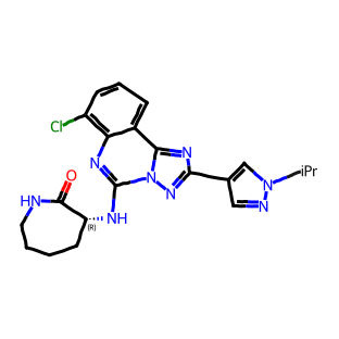 CC(C)n1cc(-c2nc3c4cccc(Cl)c4nc(N[C@@H]4CCCCNC4=O)n3n2)cn1